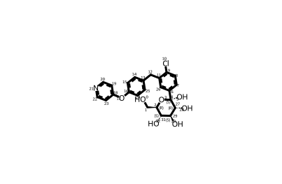 OC[C@H]1O[C@@](O)(c2ccc(Cl)c(Cc3ccc(Oc4ccncc4)cc3)c2)[C@H](O)[C@@H](O)[C@@H]1O